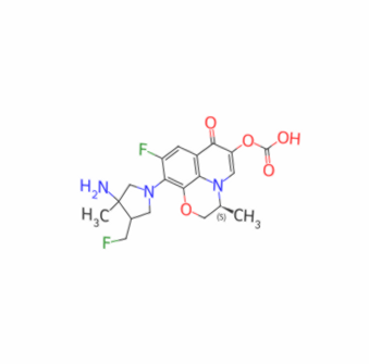 C[C@H]1COc2c(N3CC(CF)C(C)(N)C3)c(F)cc3c(=O)c(OC(=O)O)cn1c23